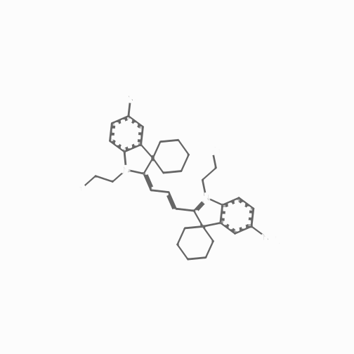 CC(C)CCN1/C(=C/C=C/C2=[N+](CCC(C)C)c3ccc([N+](=O)[O-])cc3C23CCCCC3)C2(CCCCC2)c2cc([N+](=O)[O-])ccc21